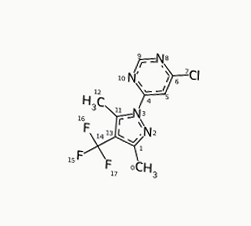 Cc1nn(-c2cc(Cl)ncn2)c(C)c1C(F)(F)F